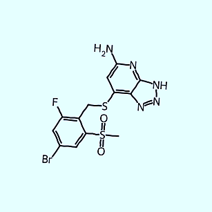 CS(=O)(=O)c1cc(Br)cc(F)c1CSc1cc(N)nc2[nH]nnc12